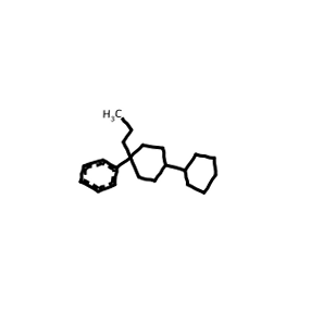 CCCC1(c2ccccc2)CCC(C2CCCCC2)CC1